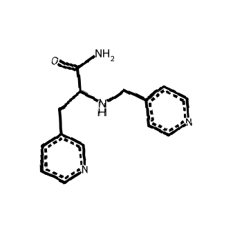 NC(=O)C(Cc1cccnc1)NCc1ccncc1